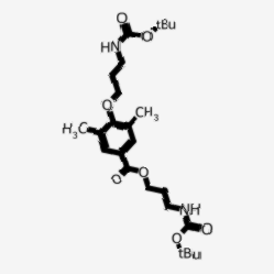 Cc1cc(C(=O)OCCCNC(=O)OC(C)(C)C)cc(C)c1OCCCNC(=O)OC(C)(C)C